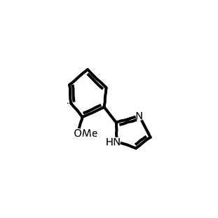 COc1[c]cccc1-c1ncc[nH]1